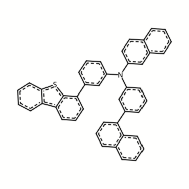 c1cc(-c2cccc3ccccc23)cc(N(c2cccc(-c3cccc4c3sc3ccccc34)c2)c2ccc3ccccc3c2)c1